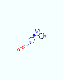 Nc1cnccc1NC1CCN(CCOC=O)CC1